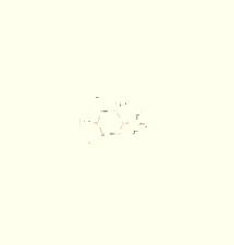 O=S(=O)(Cl)c1c(F)c(F)c(F)c(F)c1Br